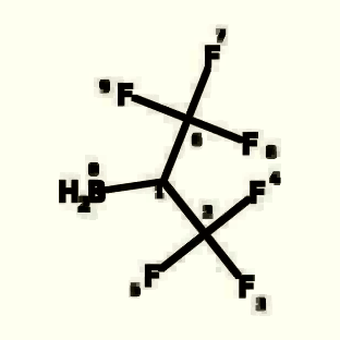 BC(C(F)(F)F)C(F)(F)F